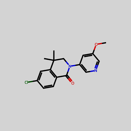 COc1cncc(N2CC(C)(C)c3cc(Cl)ccc3C2=O)c1